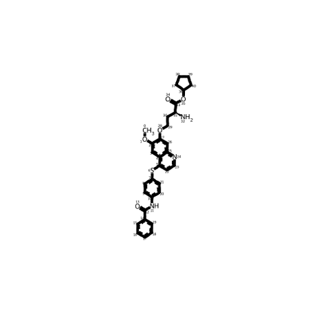 COc1cc2c(Sc3ccc(NC(=O)c4ccccc4)cc3)ccnc2cc1OCC[C@H](N)C(=O)OC1CCCC1